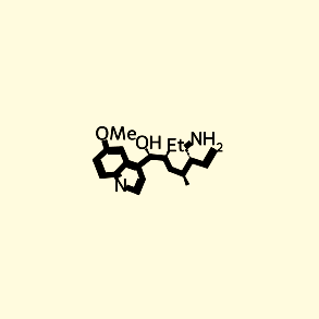 C=C[C@@H](CN)[C@@H](C)C[C@@H](CC)[C@@H](O)c1ccnc2ccc(OC)cc12